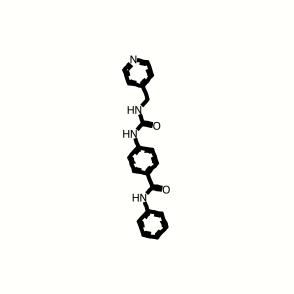 O=C(NCc1ccncc1)Nc1ccc(C(=O)Nc2ccccc2)cc1